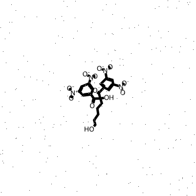 O=C(c1cc([N+](=O)[O-])cc([N+](=O)[O-])c1)C(O)(CCCCCO)C(=O)c1cc([N+](=O)[O-])cc([N+](=O)[O-])c1